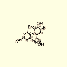 N#Cc1ccc(-c2c(C=NO)cc(Br)c(O)c2Br)c(C#N)c1